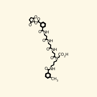 Cc1cccc(C(=O)NCCCCN(CC(=O)O)C(=O)CCNC(=O)CCNC(=O)CCNC(=O)c2cccc(C(=O)ON3C(=O)CCC3=O)c2)c1